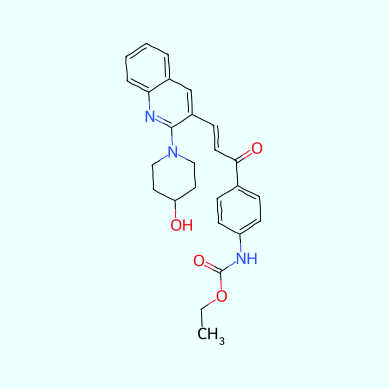 CCOC(=O)Nc1ccc(C(=O)/C=C/c2cc3ccccc3nc2N2CCC(O)CC2)cc1